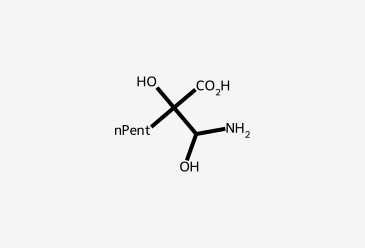 CCCCCC(O)(C(=O)O)C(N)O